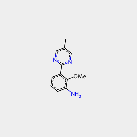 COc1c(N)cccc1-c1ncc(C)cn1